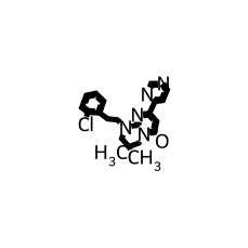 CC1(C)CN(CCc2ccccc2Cl)c2nc(-c3ccncn3)cc(=O)n2C1